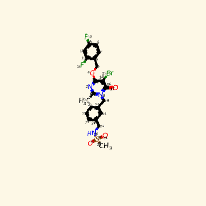 Cc1nc(OCc2ccc(F)cc2F)c(Br)c(=O)n1Cc1cccc(CNS(C)(=O)=O)c1